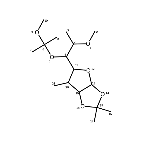 COC(C)C(OC(C)(C)OC)C1OC2OC(C)(C)OC2C1C